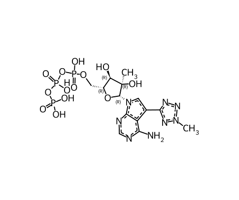 Cn1nnc(-c2cn([C@@H]3O[C@H](COP(=O)(O)OP(=O)(O)OP(=O)(O)O)[C@@H](O)[C@@]3(C)O)c3ncnc(N)c23)n1